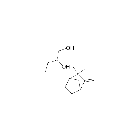 C=C1C2CCC(C2)C1(C)C.CCC(O)CO